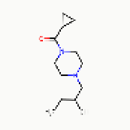 CCC(C)CN1CCN(C(=O)C2CC2)CC1